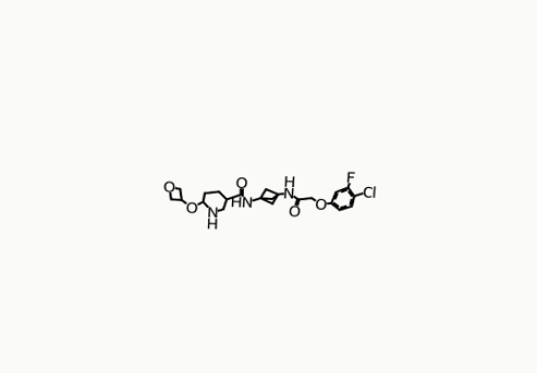 O=C(COc1ccc(Cl)c(F)c1)NC12CC(NC(=O)C3CCC(OC4COC4)NC3)(C1)C2